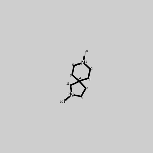 IN1CCC2(CC1)CCN(I)C2